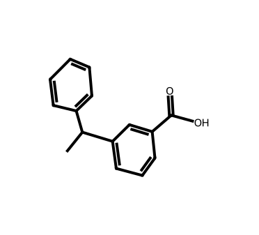 CC(c1ccccc1)c1cccc(C(=O)O)c1